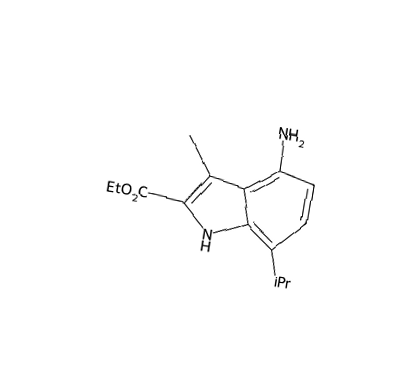 CCOC(=O)c1[nH]c2c(C(C)C)ccc(N)c2c1C